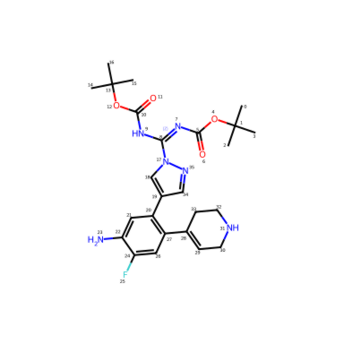 CC(C)(C)OC(=O)/N=C(/NC(=O)OC(C)(C)C)n1cc(-c2cc(N)c(F)cc2C2=CCNCC2)cn1